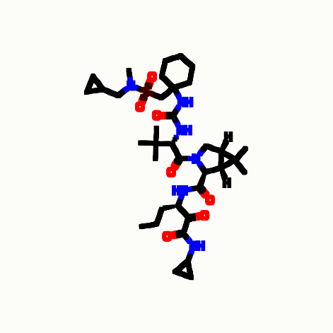 CCC[C@H](NC(=O)[C@@H]1[C@@H]2[C@H](CN1C(=O)[C@@H](NC(=O)NC1(CS(=O)(=O)N(C)CC3CC3)CCCCC1)C(C)(C)C)C2(C)C)C(=O)C(=O)NC1CC1